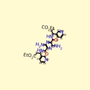 CCOC(=O)CC(NC(=O)c1nc(N)c(C(=O)NC(CC(=O)OCC)c2cccnc2)nc1N)c1cccnc1